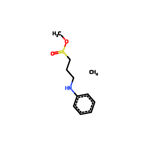 C.COS(=O)CCCNc1ccccc1